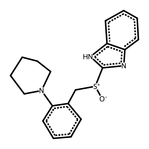 [O-][S+](Cc1ccccc1N1CCCCC1)c1nc2ccccc2[nH]1